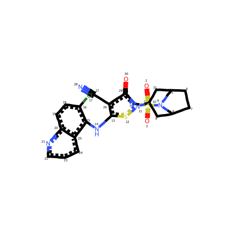 CS(=O)(=O)N1C2CCC1CC(n1sc(Nc3c(Cl)ccc4ncccc34)c(C#N)c1=O)C2